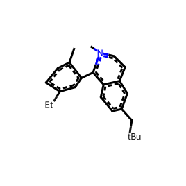 CCc1ccc(C)c(-c2c3ccc(CC(C)(C)C)cc3cc[n+]2C)c1